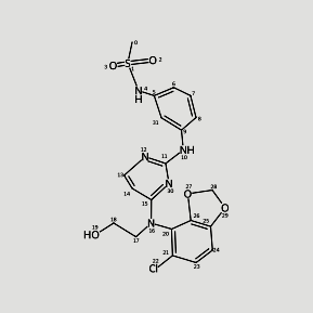 CS(=O)(=O)Nc1cccc(Nc2nccc(N(CCO)c3c(Cl)ccc4c3OCO4)n2)c1